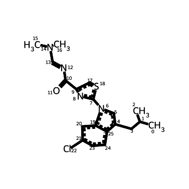 CC(C)Cc1cn(-c2nc(C(=O)N=CN(C)C)cs2)c2cc(Cl)ccc12